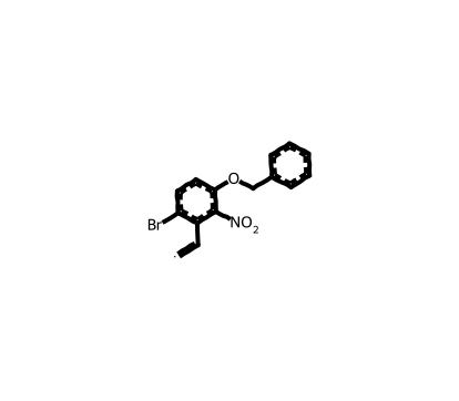 [CH]=Cc1c(Br)ccc(OCc2ccccc2)c1[N+](=O)[O-]